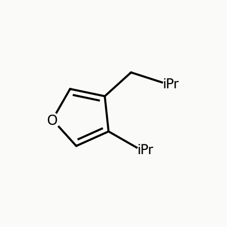 CC(C)Cc1cocc1C(C)C